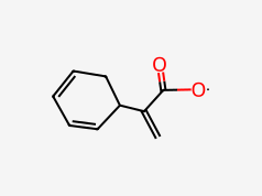 C=C(C([O])=O)C1C=CC=CC1